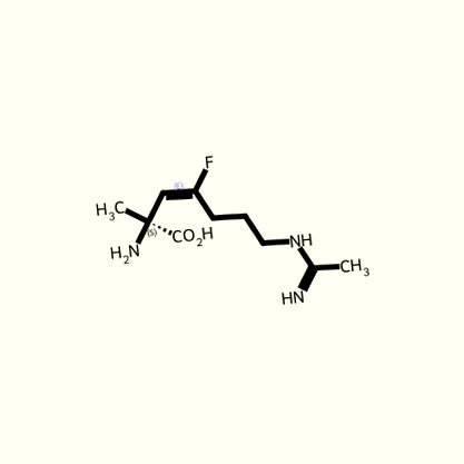 CC(=N)NCCC/C(F)=C\[C@](C)(N)C(=O)O